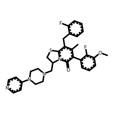 COc1cccc(-c2c(C)c(Cc3ccccc3F)c3n(c2=O)C(CN2CCN(c4ccncc4)CC2)CS3)c1F